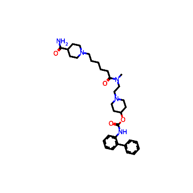 CN(CCN1CCC(OC(=O)Nc2ccccc2-c2ccccc2)CC1)C(=O)CCCCCN1CCC(C(N)=O)CC1